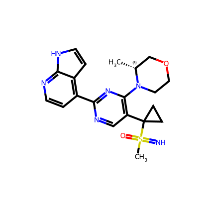 C[C@@H]1COCCN1c1nc(-c2ccnc3[nH]ccc23)ncc1C1(S(C)(=N)=O)CC1